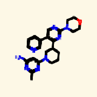 Cc1nc(N)cc(N2CCCC(c3nc(N4CCOCC4)ncc3-c3cccnc3)C2)n1